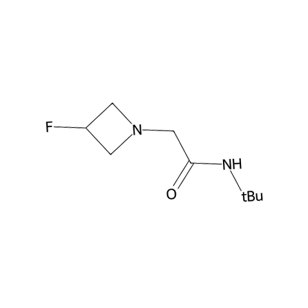 CC(C)(C)NC(=O)CN1CC(F)C1